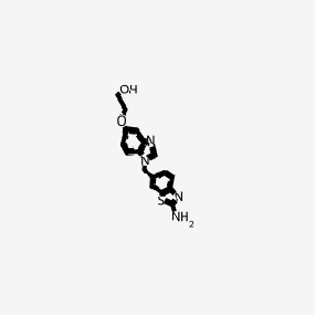 Nc1nc2ccc(Cn3cnc4cc(OCCO)ccc43)cc2s1